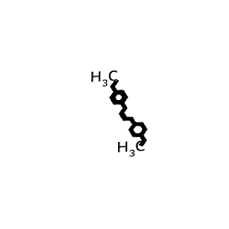 CCCc1ccc(C/C=C\CC2CCC(CC)CC2)cc1